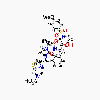 COc1ccc(S(=O)(=O)N(CC(C)C)C[C@@H](O)[C@H](Cc2ccccc2)NC(=O)[C@H](C(C)C)N2CCN(Cc3csc(CN(C)C(=O)O)n3)C2=O)cc1